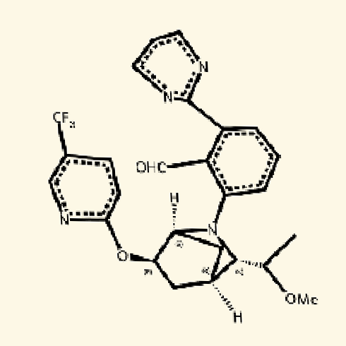 COC(C)[C@@H]1[C@H]2C[C@@H](Oc3ccc(C(F)(F)F)cn3)[C@H](C2)N1c1cccc(-c2ncccn2)c1C=O